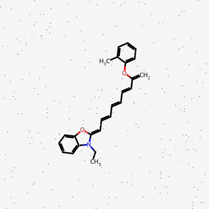 C=C(/C=C/C=C/C=C/C=C1\Oc2ccccc2N1CC)Oc1ccccc1C